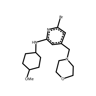 COC1CCC(Nc2cc(CN3CCOCC3)cc(Br)n2)CC1